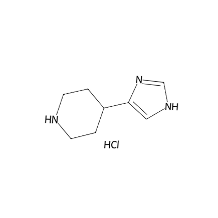 Cl.c1nc(C2CCNCC2)c[nH]1